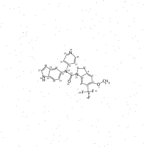 COc1cc2c(cc1C(F)(F)F)N(C(=O)N(c1ccncc1)c1ccc3[nH]ccc3c1)CC2